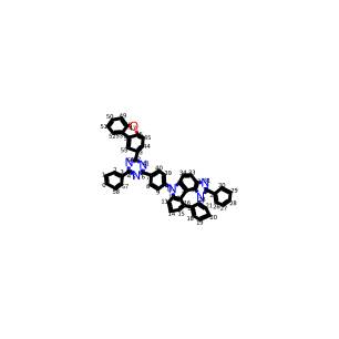 c1ccc(-c2nc(-c3ccc(-n4c5cccc6c7ccccc7n7c(-c8ccccc8)nc8ccc4c(c65)c87)cc3)nc(-c3ccc4oc5ccccc5c4c3)n2)cc1